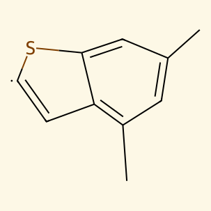 Cc1cc(C)c2c[c]sc2c1